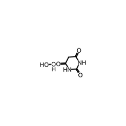 O=C1CC(=O)NC(=O)N1.OO